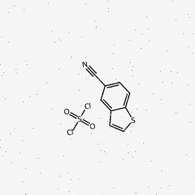 N#Cc1ccc2sccc2c1.O=S(=O)(Cl)Cl